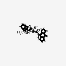 CC1(O)c2cc([S+]([O-])NC(=O)Nc3c4c(c(F)c5c3CCC5)CCC4)oc2C2CCC1C2